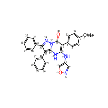 COc1ccc(-c2c(Nc3cnoc3)[nH]c3c(-c4ccccc4)c(-c4ccccc4)nn3c2=O)cc1